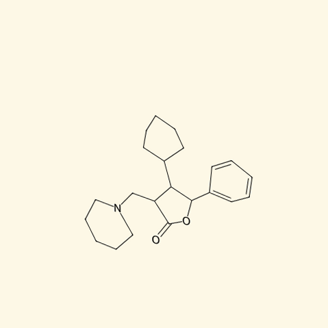 O=C1OC(c2ccccc2)C(C2CCCCC2)C1CN1CCCCC1